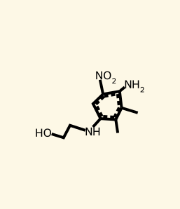 Cc1c(NCCO)cc([N+](=O)[O-])c(N)c1C